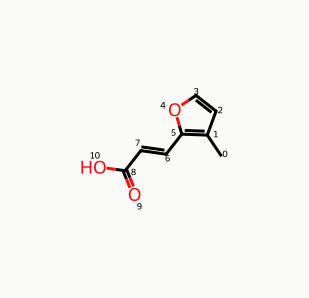 Cc1ccoc1C=CC(=O)O